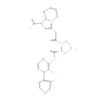 NC(=O)c1nc(CC(=O)N2C[C@H](F)C[C@H]2C(=O)Nc2cccc(-c3ccccc3Cl)c2F)n2ccccc12